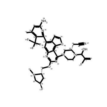 C=C(F)C(O)N1CCN(c2nc(OC[C@@H]3C[C@@H](F)CN3C)nc3cc(-c4nc(N)cc(C)c4C(F)(F)F)c4ccoc4c23)C[C@@H]1CC#N